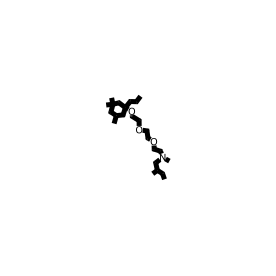 CCCC1(OCCOCCOCCN(C)CC(C)CC)CC(C)CC(C)(C)C1